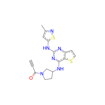 C#CC(=O)N1CCC(Nc2nc(Nc3cc(C)ns3)nc3ccsc23)C1